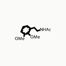 COc1cccc(CCNC(C)=O)c1OC